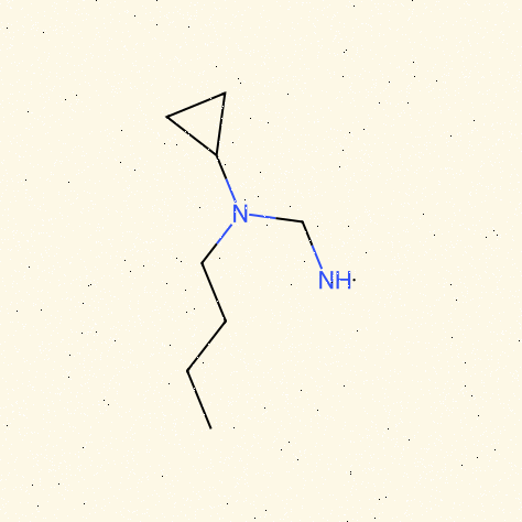 CCCCN(C[NH])C1CC1